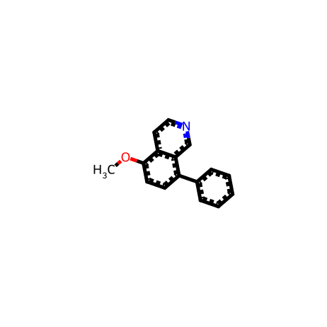 COc1ccc(-c2ccccc2)c2cnccc12